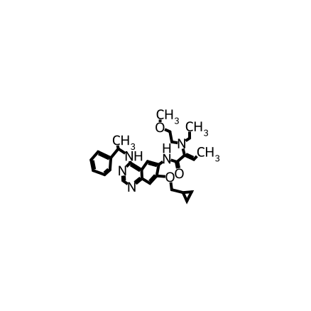 CC=C(C(=O)Nc1cc2c(NC(C)c3ccccc3)ncnc2cc1OCC1CC1)N(CC)CCOC